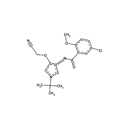 COc1ccc(Cl)cc1C(=O)N=c1sn(C(C)(C)C)cc1OCC#N